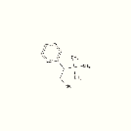 BC(C)(C)C(CC(C)(C)C)c1ccccc1